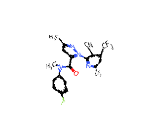 Cc1cc(C(=O)N(C)c2ccc(F)cc2)n(-c2nc(C(F)(F)F)cc(C(F)(F)F)c2C#N)n1